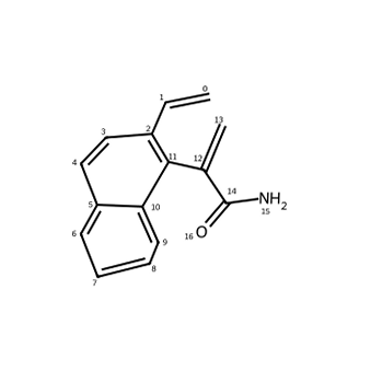 C=Cc1ccc2ccccc2c1C(=C)C(N)=O